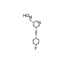 O/N=C/c1cncc(C#Cc2ccc(F)cc2)c1